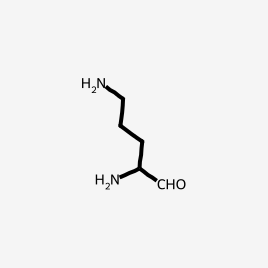 NCCCC(N)C=O